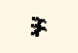 CCCN(C)C=Nc1cc(C)c(Oc2ccc(Br)c(Br)c2)cc1C